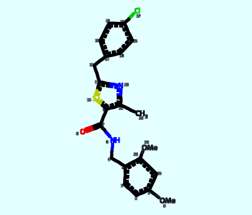 COc1ccc(CNC(=O)c2sc(Cc3ccc(Cl)cc3)nc2C)c(OC)c1